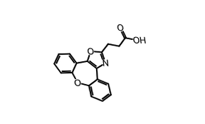 O=C(O)CCc1nc2c(o1)-c1ccccc1Oc1ccccc1-2